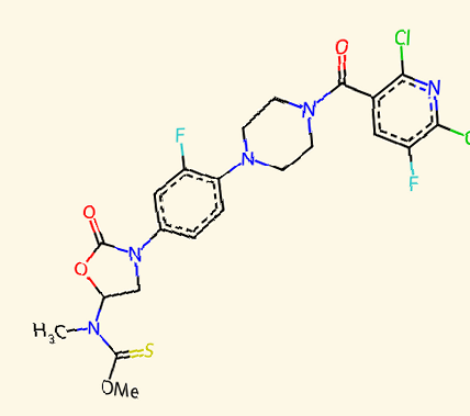 COC(=S)N(C)C1CN(c2ccc(N3CCN(C(=O)c4cc(F)c(Cl)nc4Cl)CC3)c(F)c2)C(=O)O1